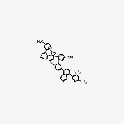 Cc1cc[n+]2c(c1)-c1ccccc1C1C2CC12/C=C/Cc1ccc(-c3ccc(-c4cnc(C)cc4C)c4cnccc34)cc1-c1cc(C(C)(C)C)cc[n+]12